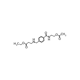 CCOC(=O)CCNCc1ccc(C(=O)NCCOC(C)=O)cc1